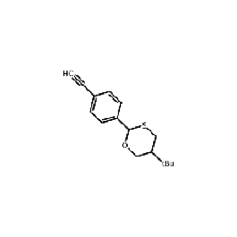 C#Cc1ccc(C2OCC(C(C)(C)C)CS2)cc1